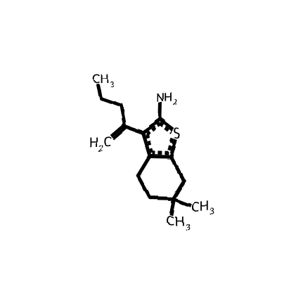 C=C(CCC)c1c(N)sc2c1CCC(C)(C)C2